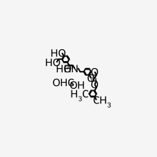 Cc1cc(C)cc(COC[C@@H]2COc3ccc(CCNC[C@H](O)c4ccc(O)c(CO)c4)cc3O2)c1.O=CO